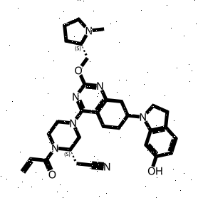 C=CC(=O)N1CCN(c2nc(OC[C@@H]3CCCN3C)nc3c2CCC(N2CCc4ccc(O)cc42)C3)C[C@@H]1CC#N